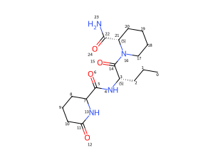 CCC[C@H](NC(=O)C1CCCC(=O)N1)C(=O)N1CCCC[C@H]1C(N)=O